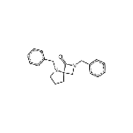 O=C1N(Cc2ccccc2)CC12CCCN2Cc1ccccc1